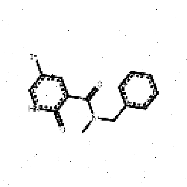 CN(Cc1ccccc1)C(=O)c1cc(Br)c[nH]c1=O